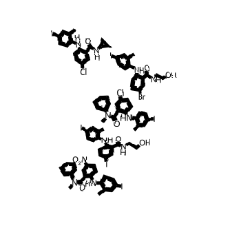 Cc1cc(I)ccc1Nc1ccc(Br)cc1C(=O)NCCO.Cc1cc(I)ccc1Nc1ccc(Cl)cc1C(=O)N(C)c1ccccc1.Cc1cc(I)ccc1Nc1ccc(Cl)cc1C(=O)NC1CC1.Cc1cc(I)ccc1Nc1ccc(I)cc1C(=O)NCCO.Cc1cc(I)ccc1Nc1ccc([N+](=O)[O-])cc1C(=O)N(C)c1ccccc1